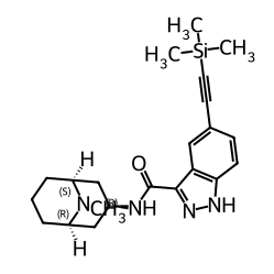 CN1[C@@H]2CCC[C@H]1C[C@@H](NC(=O)c1n[nH]c3ccc(C#C[Si](C)(C)C)cc13)C2